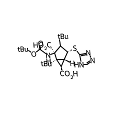 CC(C)(C)OC(=O)N[C@@]1(C(=O)O)C(C(C)(C)C)[C@H](Sc2nnc[nH]2)[C@@H]2[C@@H](C(=O)O)[C@]21C(C)(C)C